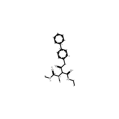 CCOC(=O)C(C(=O)Cc1ccc(-c2ccccc2)cc1)[C@@H](C)C(=O)OC